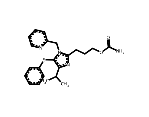 CC(C)c1nc(CCCOC(N)=O)n(Cc2ccccn2)c1Sc1ccccc1